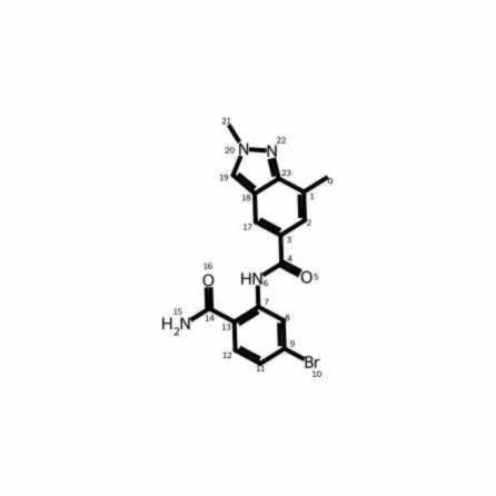 Cc1cc(C(=O)Nc2cc(Br)ccc2C(N)=O)cc2cn(C)nc12